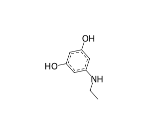 CCNc1cc(O)cc(O)c1